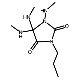 [CH2]CCN1C(=O)N(NC)C(NC)(NC)C1=O